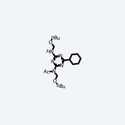 CCCCOCNc1nc(C2CCCCC2)nc(N(COCCCC)C(C)=O)n1